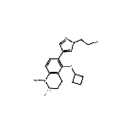 CC(=O)N1c2ccc(-c3cnn(CCO)c3)c(OC3CCC3)c2CC[C@@H]1C